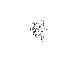 C=CC(=O)CC1C(=O)C(C)=CCC1C(=C)C